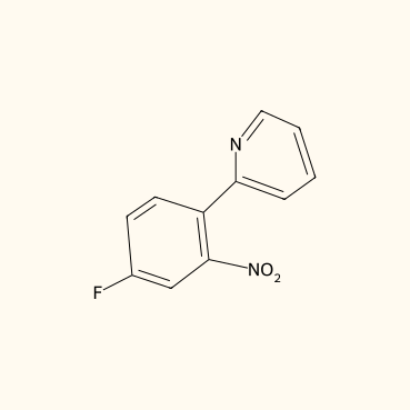 O=[N+]([O-])c1cc(F)ccc1-c1ccccn1